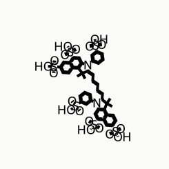 CC1(C)C(/C=C/C=C/C=C2/N(c3cccc(S(=O)(=O)O)c3)c3cc(S(=O)(=O)O)c4cc(S(=O)(=O)O)ccc4c3C2(C)C)=[N+](c2cccc(S(=O)(=O)O)c2)c2cc(S(=O)(=O)O)c3cc(S(=O)(=O)O)ccc3c21